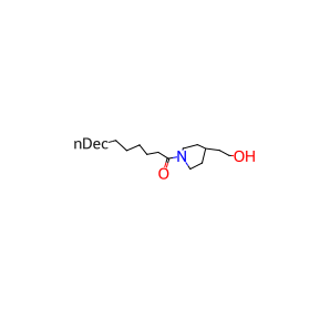 CCCCCCCCCCCCCCCC(=O)N1CCC(CCO)CC1